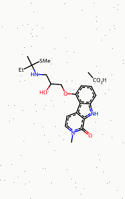 CC(=O)O.CCC(C)(NCC(O)COc1cccc2[nH]c3c(=O)n(C)ccc3c12)SC